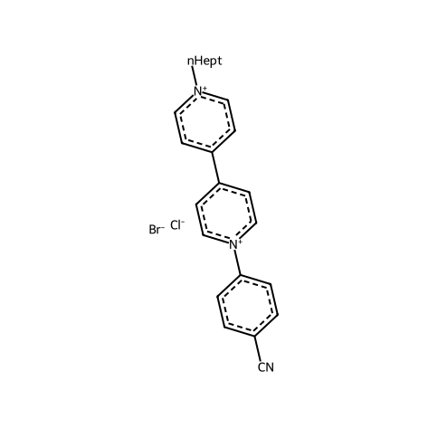 CCCCCCC[n+]1ccc(-c2cc[n+](-c3ccc(C#N)cc3)cc2)cc1.[Br-].[Cl-]